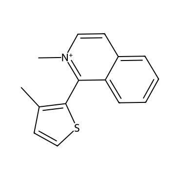 Cc1ccsc1-c1c2ccccc2cc[n+]1C